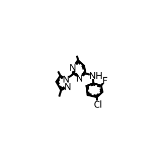 Cc1cc(Nc2ccc(Cl)cc2F)nc(-n2nc(C)cc2C)n1